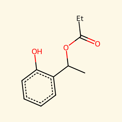 CCC(=O)OC(C)c1ccccc1O